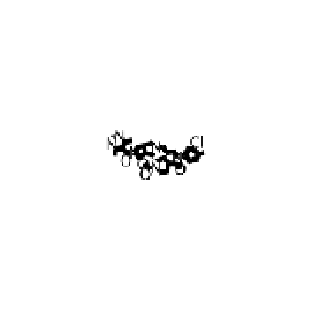 COC(=O)N1CCC(C(=O)N(CCCN2CC3CN(C(=O)c4c(C)ncnc4C)CC3C2)c2ccc(C)c(Cl)c2)CC1